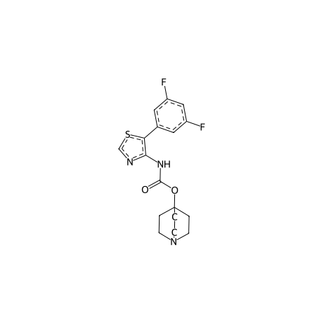 O=C(Nc1ncsc1-c1cc(F)cc(F)c1)OC12CCN(CC1)CC2